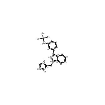 FC(F)(F)Oc1cccc(-c2nn(Cc3nnco3)c3ccccc23)c1